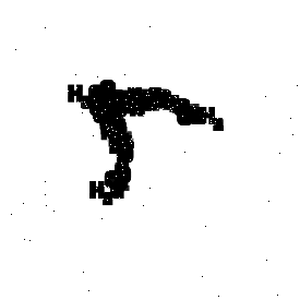 C=CC(=O)OCCCOc1ccc(-c2ncc(C(=O)O[C@H]3C(=O)N(C)C(=O)[C@@H]3OC(=O)c3cnc(-c4ccc(OCCCOC(=O)C=C)cc4)nc3)cn2)cc1